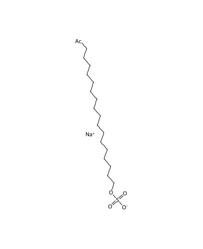 CC(=O)CCCCCCCCCCCCCCCCCOS(=O)(=O)[O-].[Na+]